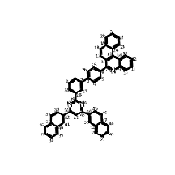 c1cc(-c2ccc(-c3nc4ccccc4c4c3ccc3ccccc34)cc2)cc(-c2nc(-c3ccc4ccccc4c3)cc(-c3ccc4ccccc4c3)n2)c1